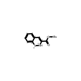 CC(C)(C)OC(=O)C1=Cc2ccccc2SN1